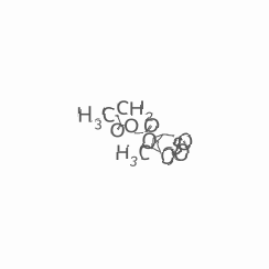 C=C(C)C(=O)OCC(=O)OC1C2CC(C)C1OS(=O)(=O)C2